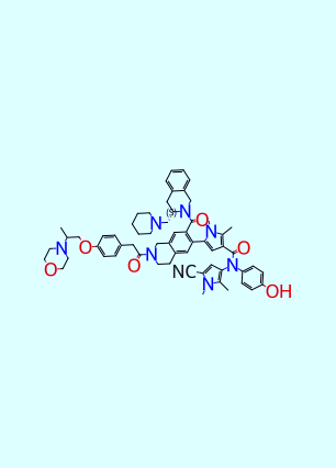 Cc1c(N(C(=O)c2cc(-c3cc4c(cc3C(=O)N3Cc5ccccc5C[C@H]3CN3CCCCC3)CN(C(=O)Cc3ccc(OCC(C)N5CCOCC5)cc3)CC4)n(C)c2C)c2ccc(O)cc2)cc(C#N)n1C